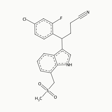 CS(=O)(=O)Cc1cccc2c(C(CCC#N)c3ccc(Cl)cc3F)c[nH]c12